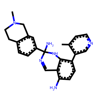 Cc1ccncc1-c1ccc(N)c2c1NC(N)(c1ccc3c(c1)CN(C)CC3)N=C2